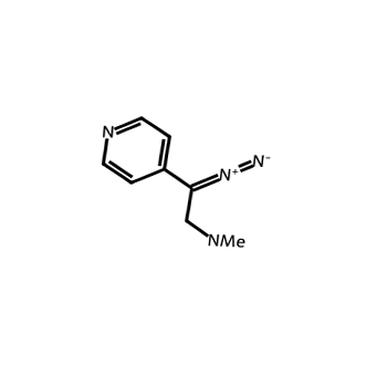 CNCC(=[N+]=[N-])c1ccncc1